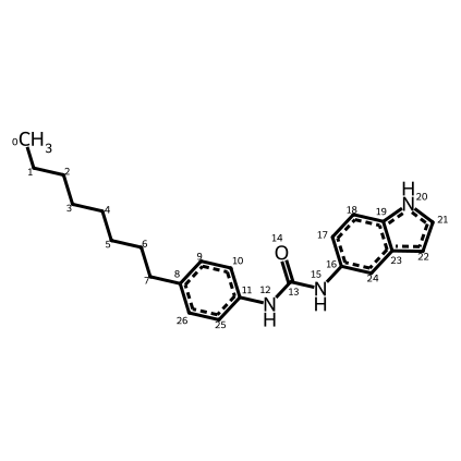 CCCCCCCCc1ccc(NC(=O)Nc2ccc3[nH]ccc3c2)cc1